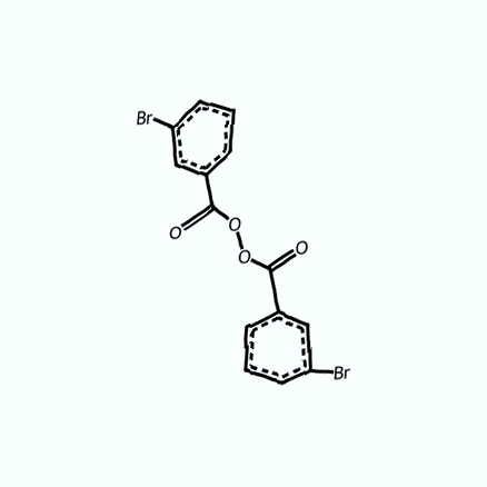 O=C(OOC(=O)c1cccc(Br)c1)c1cccc(Br)c1